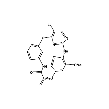 C=CC(=O)Nc1cccc(Oc2nc(Nc3ccc(OC)cc3OC)ncc2Cl)c1